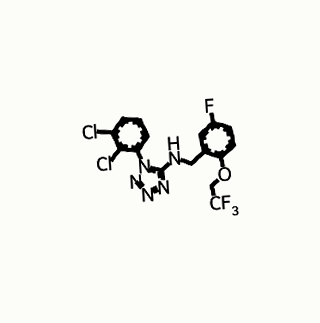 Fc1ccc(OCC(F)(F)F)c(CNc2nnnn2-c2cccc(Cl)c2Cl)c1